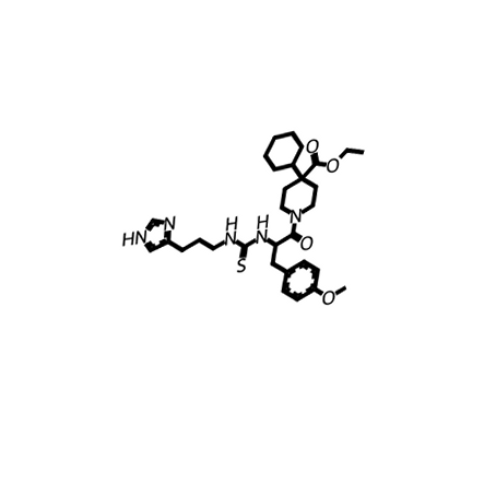 CCOC(=O)C1(C2CCCCC2)CCN(C(=O)C(Cc2ccc(OC)cc2)NC(=S)NCCCc2c[nH]cn2)CC1